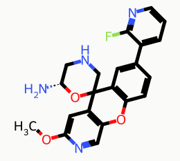 COc1cc2c(cn1)Oc1ccc(-c3cccnc3F)cc1C21CNC[C@@H](N)O1